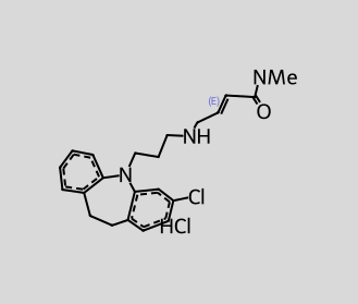 CNC(=O)/C=C/CNCCCN1c2ccccc2CCc2ccc(Cl)cc21.Cl